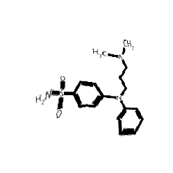 CN(C)CCCN(c1ccccc1)c1ccc(S(N)(=O)=O)cc1